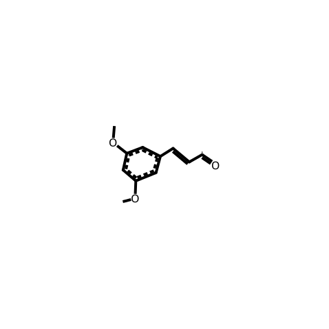 COc1cc(C=C[C]=O)cc(OC)c1